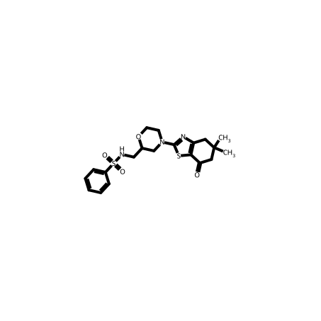 CC1(C)CC(=O)c2sc(N3CCOC(CNS(=O)(=O)c4ccccc4)C3)nc2C1